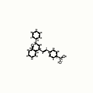 O=[N+]([O-])c1ccc(C=Cc2cc(-c3ccccc3)[o+]c3ccccc23)cc1